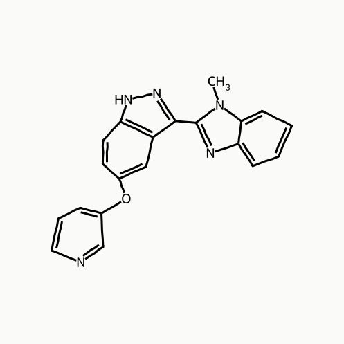 Cn1c(-c2n[nH]c3ccc(Oc4cccnc4)cc23)nc2ccccc21